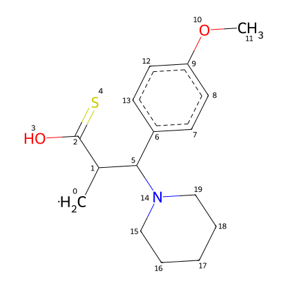 [CH2]C(C(O)=S)C(c1ccc(OC)cc1)N1CCCCC1